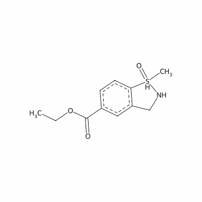 CCOC(=O)c1ccc2c(c1)CN[SH]2(C)=O